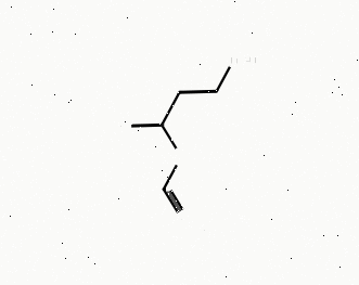 C=COC(C)CCCCCC